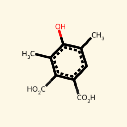 Cc1cc(C(=O)O)c(C(=O)O)c(C)c1O